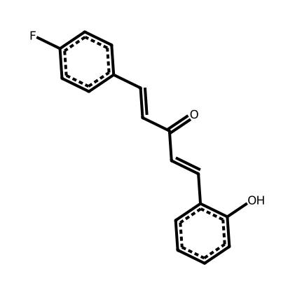 O=C(C=Cc1ccc(F)cc1)C=Cc1ccccc1O